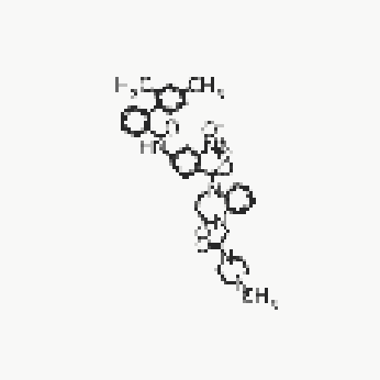 Cc1ccc(-c2ccccc2C(=O)Nc2ccc(C(=O)N3CCC(=O)N(CC(=O)N4CCN(C)CC4)c4ccccc43)c([N+](=O)[O-])c2)c(C)c1